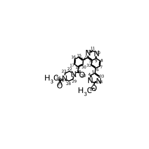 COc1ncc(-c2ccc3ncnc(-c4cccc(C(=O)N5CCN(C(C)=O)CC5)c4)c3c2)cn1